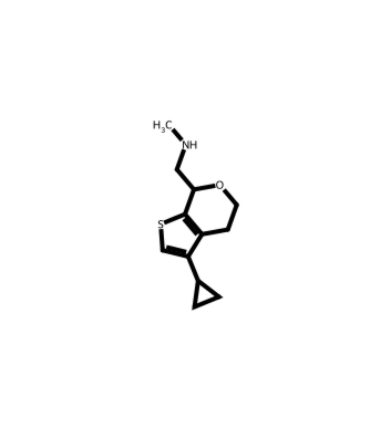 CNCC1OCCc2c(C3CC3)csc21